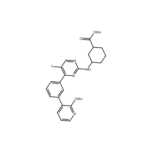 COC(=O)C1CCCC(Nc2ncc(F)c(-c3cccc(-c4cccnc4OC)c3)n2)C1